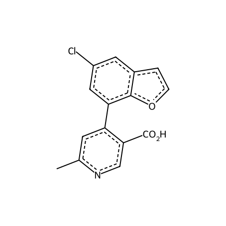 Cc1cc(-c2cc(Cl)cc3ccoc23)c(C(=O)O)cn1